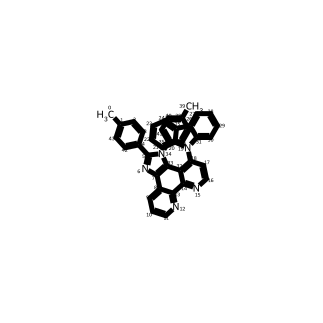 Cc1ccc(-c2nc3c4cccnc4c4nccc(-n5c6ccccc6c6ccccc65)c4c3n2-c2ccc(C)cc2)cc1